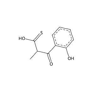 CC(C(=O)c1ccccc1O)C(O)=S